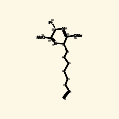 C=CCCCCCC[C@H]1N=C(OC)[C@H](C(C)C)N=C1OC